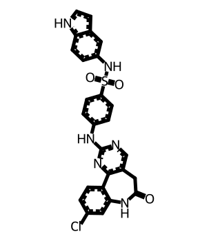 O=C1Cc2cnc(Nc3ccc(S(=O)(=O)Nc4ccc5[nH]ccc5c4)cc3)nc2-c2ccc(Cl)cc2N1